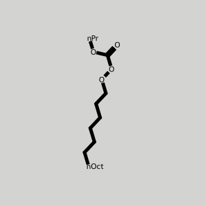 CCCCCCCCCCCCCCOOC(=O)OCCC